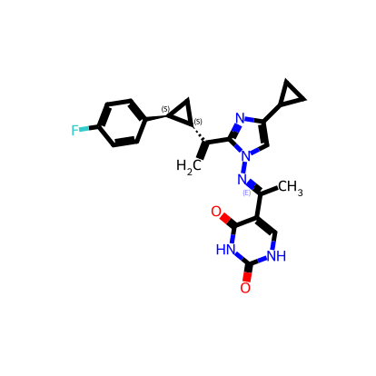 C=C(c1nc(C2CC2)cn1/N=C(\C)c1c[nH]c(=O)[nH]c1=O)[C@H]1C[C@@H]1c1ccc(F)cc1